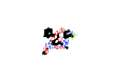 Cc1nc([C@@H]2OC3COC(c4ccccc4)O[C@@H]3C(NNC(=O)OC(C)(C)C)C2O)n(-c2cc(Br)cnc2C(F)(F)F)n1